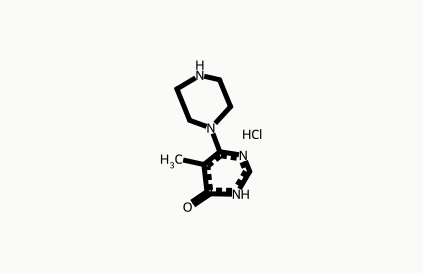 Cc1c(N2CCNCC2)nc[nH]c1=O.Cl